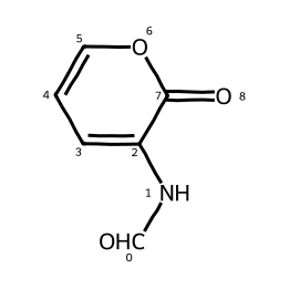 O=CNc1cccoc1=O